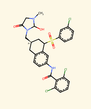 CN1CC(=O)N(C[C@@H]2Cc3ccc(NC(=O)c4c(Cl)cccc4Cl)cc3C(S(=O)(=O)c3cccc(Cl)c3)C2)C1O